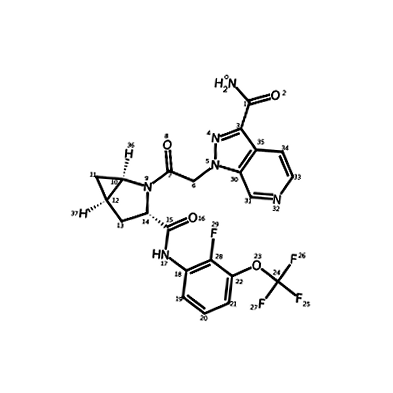 NC(=O)c1nn(CC(=O)N2[C@@H]3C[C@@H]3C[C@H]2C(=O)Nc2cccc(OC(F)(F)F)c2F)c2cnccc12